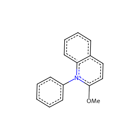 COc1ccc2ccccc2[n+]1-c1ccccc1